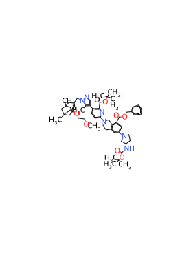 COCCOC12CC3(C)CC(C)(CC(Cn4ncc(-c5ccc(N6CCc7cc(N8CC[C@H](NC(=O)OC(C)(C)C)C8)cc(C(=O)OCc8ccccc8)c7C6)nc5C(=O)OC(C)(C)C)c4C)(C3)C1)C2